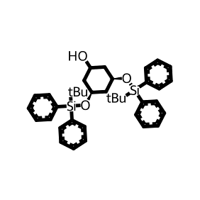 CC(C)(C)[Si](O[C@@H]1CC(O)C[C@H](O[Si](c2ccccc2)(c2ccccc2)C(C)(C)C)C1)(c1ccccc1)c1ccccc1